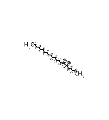 CCCCCCCCCCCCCCCC(=O)OC(=O)CCCCC